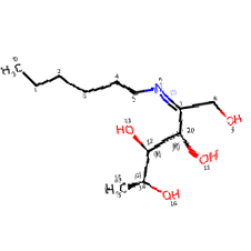 CCCCCC/N=C(/CO)[C@@H](O)[C@H](O)[C@H](C)O